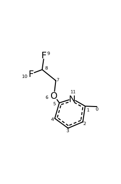 Cc1cccc(OCC(F)F)n1